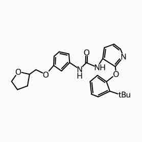 CC(C)(C)c1ccccc1Oc1ncccc1NC(=O)Nc1cccc(OCC2CCCO2)c1